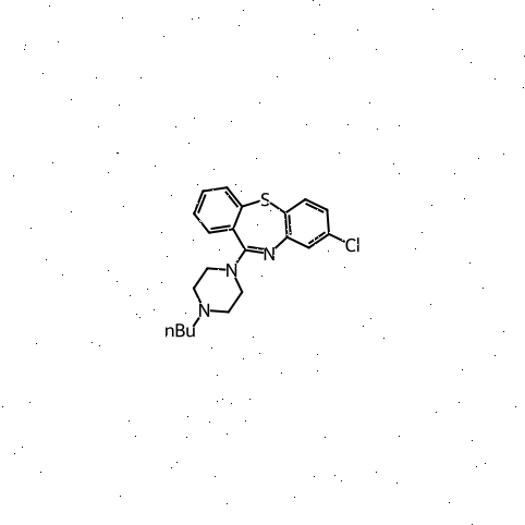 CCCCN1CCN(C2=Nc3cc(Cl)ccc3Sc3ccccc32)CC1